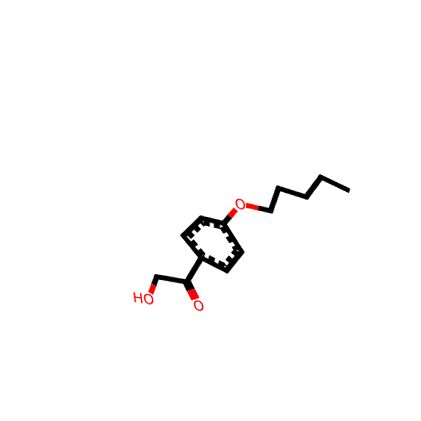 CCCCCOc1ccc(C(=O)CO)cc1